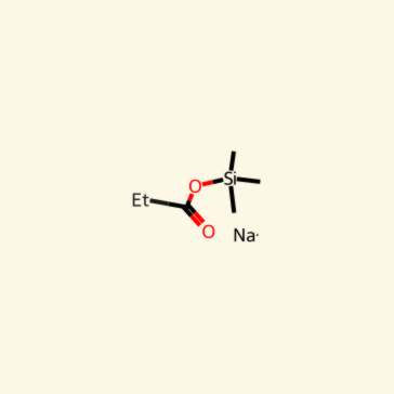 CCC(=O)O[Si](C)(C)C.[Na]